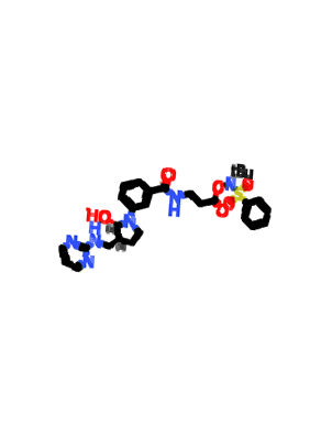 CC(C)(C)N(OC(=O)CCNC(=O)c1cccc(N2CC[C@@H](CNc3ncccn3)[C@@H]2O)c1)S(=O)(=O)c1ccccc1